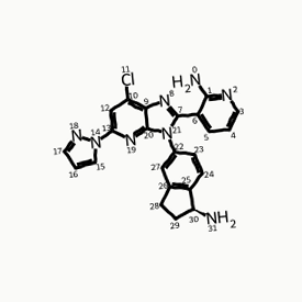 Nc1ncccc1-c1nc2c(Cl)cc(-n3cccn3)nc2n1-c1ccc2c(c1)CC[C@@H]2N